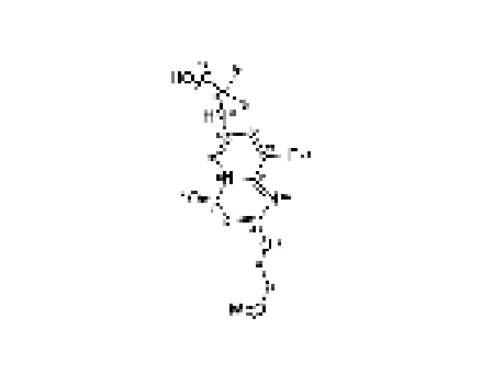 COCCOc1cc(=O)n2cc(NC(C)(C)C(=O)O)cc(F)c2n1